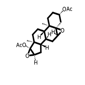 CC(=O)O[C@H]1CC[C@]2(C)[C@H]3CC[C@@]4(C)[C@@H](C[C@H]5O[C@]54OC(C)=O)[C@@H]3C[C@@H]3O[C@@]32C1